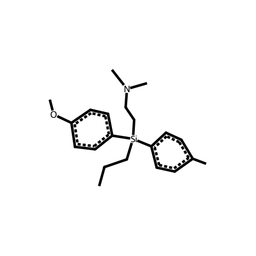 CCC[Si](CCN(C)C)(c1ccc(C)cc1)c1ccc(OC)cc1